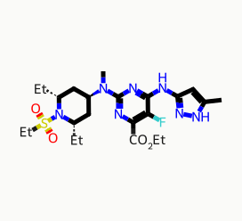 CCOC(=O)c1nc(N(C)[C@@H]2C[C@@H](CC)N(S(=O)(=O)CC)[C@@H](CC)C2)nc(Nc2cc(C)[nH]n2)c1F